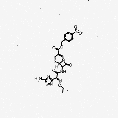 CCON=C(C(=O)NC1C(=O)N2C=C(C(=O)OCc3ccc([N+](=O)[O-])cc3)CS[C@H]12)c1nsc(N)n1